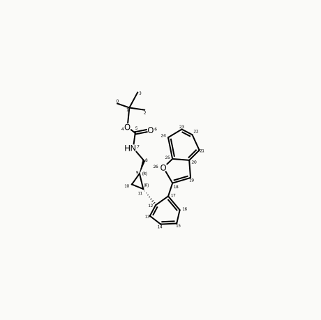 CC(C)(C)OC(=O)NC[C@@H]1C[C@H]1c1ccccc1-c1cc2ccccc2o1